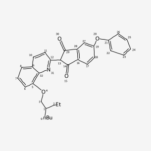 CCCCC(CC)COc1cccc2ccc(C3C(=O)c4ccc(Oc5ccccc5)cc4C3=O)nc12